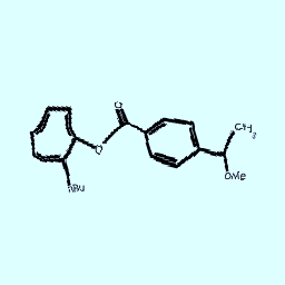 CCCCc1ccccc1OC(=O)c1ccc(C(C)OC)cc1